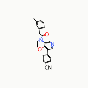 Cc1cccc(CC(=O)N2CCOc3c(-c4ccc(C#N)cc4)cncc32)c1